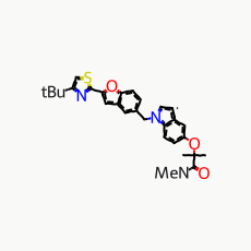 CNC(=O)C(C)(C)Oc1ccc2c([c]cn2Cc2ccc3oc(-c4nc(C(C)(C)C)cs4)cc3c2)c1